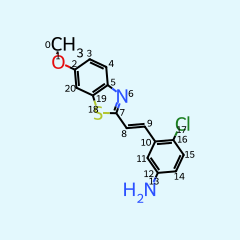 COc1ccc2nc(/C=C/c3cc(N)ccc3Cl)sc2c1